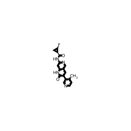 Cc1ccncc1-c1cc2cnc(NC(=O)[C@H]3C[C@H]3F)cc2[nH]c1=O